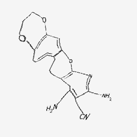 N#Cc1c(N)nc2c(c1N)Cc1cc3c(cc1O2)OCCO3